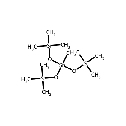 C[Si](C)(C)[O][Sn]([Cl])([O][Si](C)(C)C)[O][Si](C)(C)C